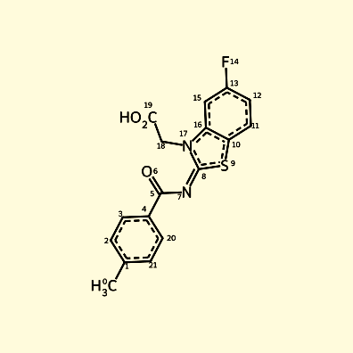 Cc1ccc(C(=O)N=c2sc3ccc(F)cc3n2CC(=O)O)cc1